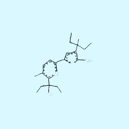 CCC(O)(CC)c1cc(-c2ccc(C)c(C(O)(CC)CC)n2)oc1N